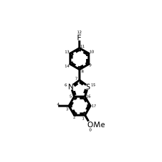 COc1cc(C)c2nc(-c3ccc(F)cc3)sc2c1